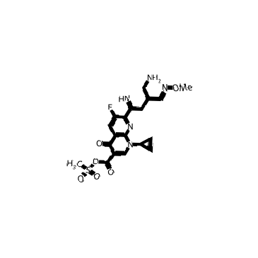 CON=CC(CN)CC(=N)c1nc2c(cc1F)c(=O)c(C(=O)OS(C)(=O)=O)cn2C1CC1